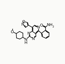 COC1CCC(Nc2ncc3c(-c4ccccc4C(N)=O)ncc(-c4cnoc4)c3n2)CC1